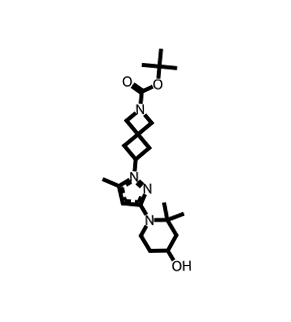 Cc1cc(N2CCC(O)CC2(C)C)nn1C1CC2(C1)CN(C(=O)OC(C)(C)C)C2